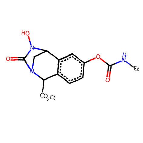 CCNC(=O)Oc1ccc2c(c1)C1CN(C(=O)N1O)C2C(=O)OCC